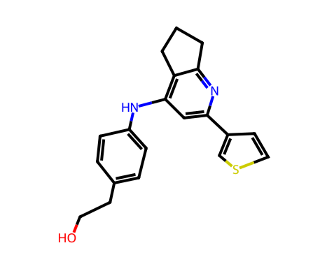 OCCc1ccc(Nc2cc(-c3ccsc3)nc3c2CCC3)cc1